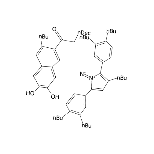 CCCCC1=C(c2ccc(CCCC)c(CCCC)c2)[N+](=[N-])C(c2ccc(CCCC)c(CCCC)c2)=C1.CCCCCCCCCCCC(=O)c1cc2cc(O)c(O)cc2cc1CCCC